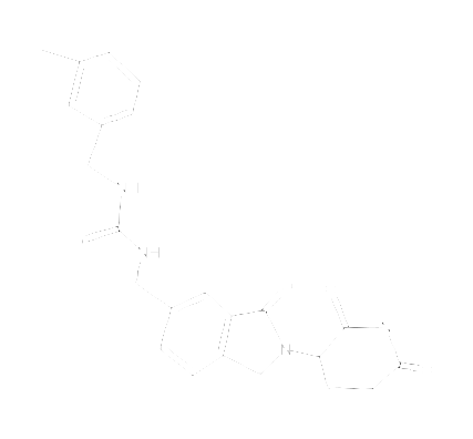 Cc1cccc(CNC(=O)NCc2ccc3c(c2)C(=O)N(C2CCC(=O)NC2=O)C3)c1